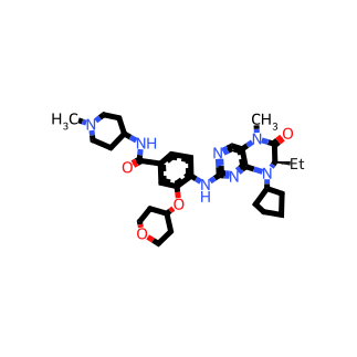 CC[C@@H]1C(=O)N(C)c2cnc(Nc3ccc(C(=O)NC4CCN(C)CC4)cc3OC3CCOCC3)nc2N1C1CCCC1